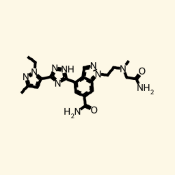 CCn1nc(C)cc1-c1n[nH]c(-c2cc(C(N)=O)cc3c2cnn3CCN(C)CC(N)=O)n1